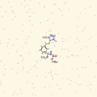 CN1N=NN(O)C1SCc1cccc(C(NC(=O)OC(C)(C)C)C(=O)O)c1